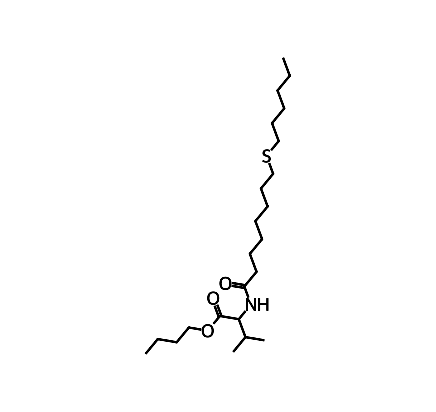 CCCCCCSCCCCCCCC(=O)NC(C(=O)OCCCC)C(C)C